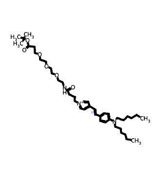 CCCCCCN(CCCCCC)c1ccc(/C=C/c2cc[n+](CCCC(=O)NCCOCCOCCOCCC(=O)OC(C)(C)C)cc2)cc1